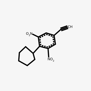 C#Cc1cc([N+](=O)[O-])c(C2CCCCC2)c([N+](=O)[O-])c1